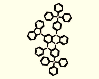 c1ccc(N2c3cc([Si](c4ccccc4)(c4ccccc4)c4ccccc4)ccc3B3c4ccccc4N(c4ccc([Si](c5ccccc5)(c5ccccc5)c5ccccc5)cc4)c4cc(-n5c6ccccc6c6ccccc65)cc2c43)cc1